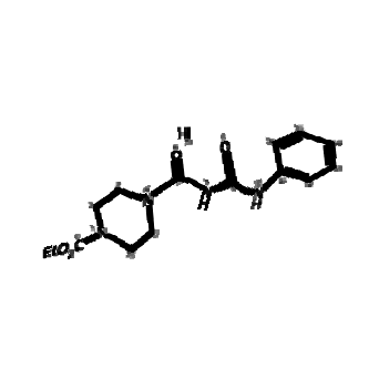 CCOC(=O)N1CCN(C(=O)NC(=O)Nc2ccccc2)CC1.I